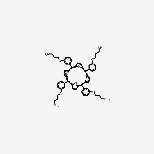 NCCCOc1cccc(-c2c3nc(c(-c4cccc(OCCCN)c4)c4ccc([nH]4)c(-c4cccc(OCCCN)c4)c4nc(c(-c5cccc(OCCCN)c5)c5ccc2[nH]5)C=C4)C=C3)c1